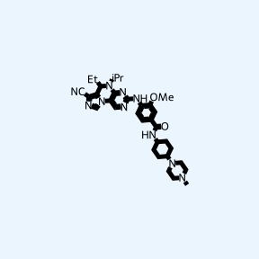 CCC1c2c(C#N)ncn2-c2cnc(Nc3ccc(C(=O)NC4CCC(N5CCN(C)CC5)CC4)cc3OC)nc2N1C(C)C